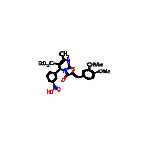 CCOC(=O)C1=C(C)N=c2s/c(=C\c3ccc(OC)c(OC)c3)c(=O)n2C1c1cccc([N+](=O)O)c1